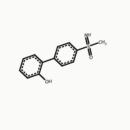 CS(=N)(=O)c1ccc(-c2ccccc2O)cc1